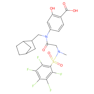 CN(CC(=O)N(CC1CC2CCC1C2)c1ccc(C(=O)O)c(O)c1)S(=O)(=O)c1c(F)c(F)c(F)c(F)c1F